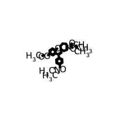 CCN(CC)C(=O)c1ccc(C2=CC3(CCCN(C(=O)OC(C)(C)C)CC3)Oc3ccc(OCOC)cc32)cc1